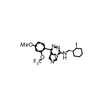 COc1ccc(-c2nnc(NC[C@@H]3CCCC[C@@H]3C)n3cncc23)c(OC(F)(F)F)c1